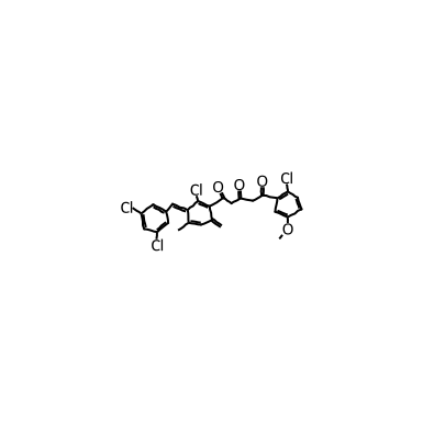 C=c1cc(C)/c(=C\c2cc(Cl)cc(Cl)c2)c(Cl)c1C(=O)CC(=O)CC(=O)c1cc(OC)ccc1Cl